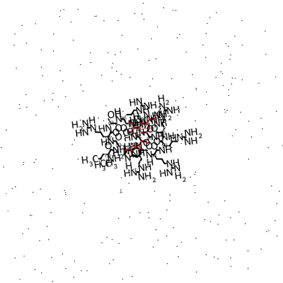 CN[C@@H](CC(C)C)C(=O)N[C@@H](Cc1c[nH]c2ccccc12)C(=O)N[C@@H](CCCNC(=N)N)C(=O)N[C@@H](CO)C(=O)N[C@H](CCCNC(=N)N)C(=O)N[C@H](CCCNC(=N)N)C(=O)N[C@H](CCCNC(=N)N)C(=O)N[C@H](CCCNC(=N)N)C(=O)N[C@H](CCCNC(=N)N)C(=O)N[C@H](CCCNC(=N)N)C(=O)N[C@H](CCCNC(=N)N)C(=O)N[C@H](CCCNC(=N)N)C(=O)N[C@H](CS)C(N)=O